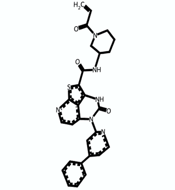 C=CC(=O)N1CCCC(NC(=O)c2sc3nccc4c3c2NC(=O)N4c2cc(-c3ccccc3)ccn2)C1